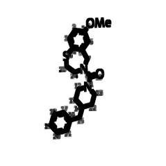 COc1ccc2c(c1)CN(C(=O)N1CCC(Cc3ccccc3)CC1)CCS2